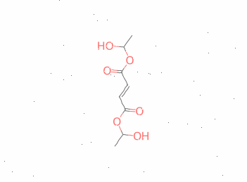 CC(O)OC(=O)/C=C/C(=O)OC(C)O